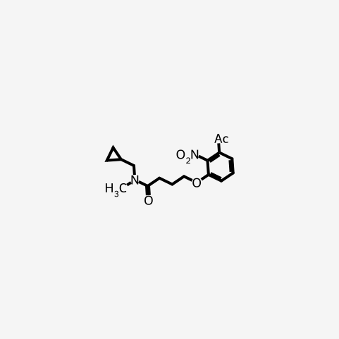 CC(=O)c1cccc(OCCCC(=O)N(C)CC2CC2)c1[N+](=O)[O-]